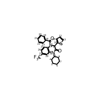 O=C(NC1CCCCC1)C(c1cccs1)N(C(=O)c1ccccc1)c1ccc(C(F)(F)F)cc1